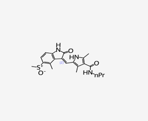 CCCNC(=O)c1c(C)[nH]c(/C=C2\C(=O)Nc3ccc([S+](C)[O-])c(C)c32)c1C